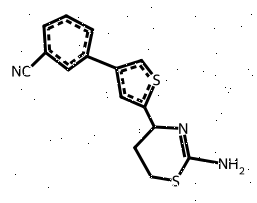 N#Cc1cccc(-c2csc(C3CCSC(N)=N3)c2)c1